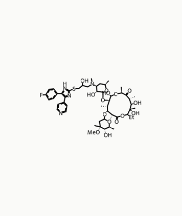 CC[C@H]1OC(=O)[C@H](C)[C@@H](OC2C[C@@](C)(OC)[C@@H](O)[C@H](C)O2)[C@H](C)[C@@H](OC2O[C@H](C)C[C@H](N(C)CC(O)CSc3nc(-c4ccncc4)c(-c4ccc(F)cc4)[nH]3)[C@H]2O)C(O)C[C@@H](C)C(=O)[C@H](C)[C@@H](O)[C@]1(C)O